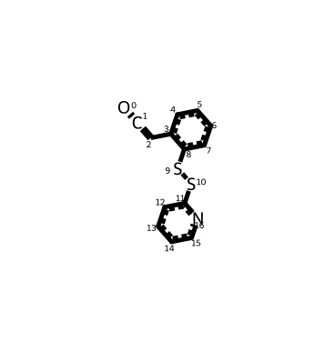 O=C=Cc1ccccc1SSc1ccccn1